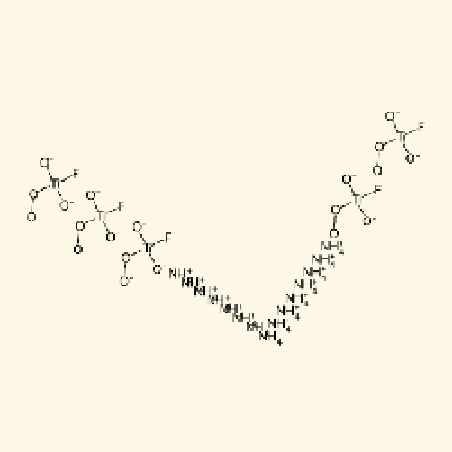 [NH4+].[NH4+].[NH4+].[NH4+].[NH4+].[NH4+].[NH4+].[NH4+].[NH4+].[NH4+].[NH4+].[NH4+].[NH4+].[NH4+].[NH4+].[O-][O][Ti]([O-])([O-])[F].[O-][O][Ti]([O-])([O-])[F].[O-][O][Ti]([O-])([O-])[F].[O-][O][Ti]([O-])([O-])[F].[O-][O][Ti]([O-])([O-])[F]